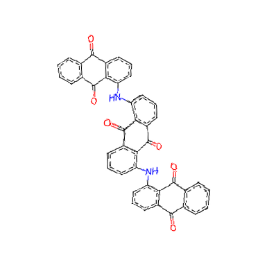 O=C1c2ccccc2C(=O)c2c(Nc3cccc4c3C(=O)c3cccc(Nc5cccc6c5C(=O)c5ccccc5C6=O)c3C4=O)cccc21